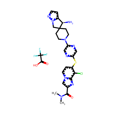 CN(C)C(=O)c1cn2ccc(Sc3cnc(N4CCC5(CC4)Cn4nccc4[C@H]5N)cn3)c(Cl)c2n1.O=C(O)C(F)(F)F